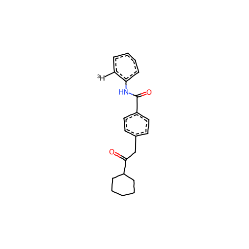 [3H]c1ccccc1NC(=O)c1ccc(CC(=O)C2CCCCC2)cc1